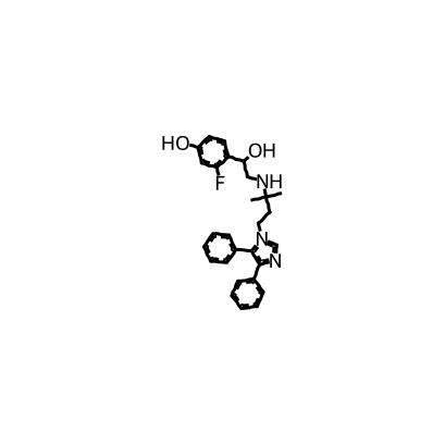 CC(C)(CCn1cnc(-c2ccccc2)c1-c1ccccc1)NCC(O)c1ccc(O)cc1F